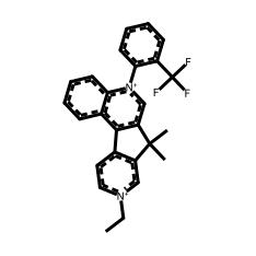 CC[n+]1ccc2c(c1)C(C)(C)c1c[n+](-c3ccccc3C(F)(F)F)c3ccccc3c1-2